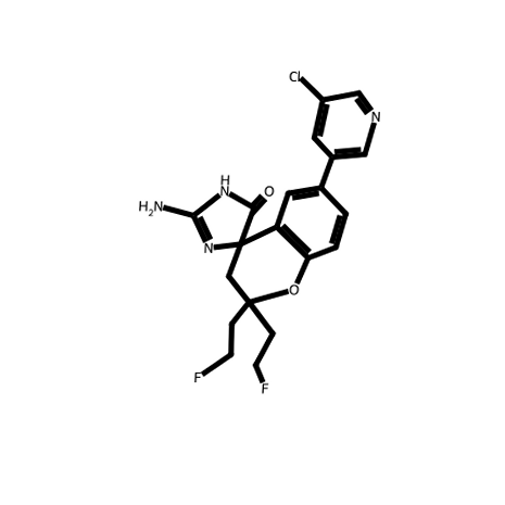 NC1=NC2(CC(CCF)(CCF)Oc3ccc(-c4cncc(Cl)c4)cc32)C(=O)N1